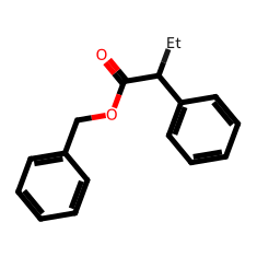 CCC(C(=O)OCc1ccccc1)c1ccccc1